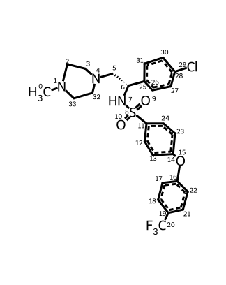 CN1CCN(C[C@@H](NS(=O)(=O)c2ccc(Oc3ccc(C(F)(F)F)cc3)cc2)c2ccc(Cl)cc2)CC1